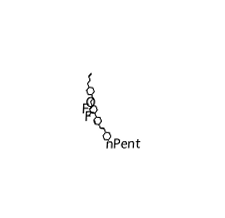 C=CCCC1CCC(COC2=C(F)C(F)=C(C3C=CC(/C=C/C4CCC(CCCCC)CC4)CC3)CC2)CC1